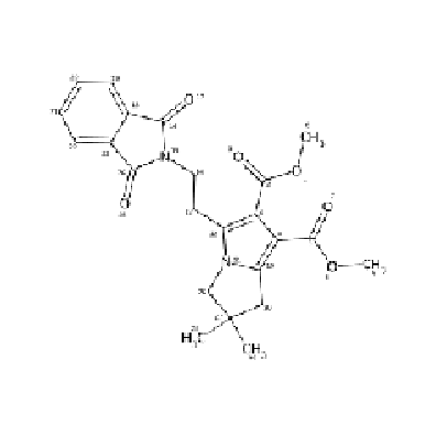 COC(=O)c1c(C(=O)OC)c2n(c1CCN1C(=O)c3ccccc3C1=O)CC(C)(C)C2